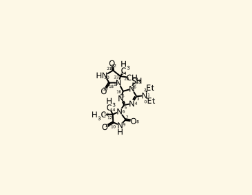 CCN(CC)C1=NC(N2C(=O)NC(=O)C2(C)C)=NC(N2C(=O)NC(=O)C2(C)C)N1S